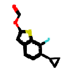 O=COc1cc2ccc(C3CC3)c(F)c2s1